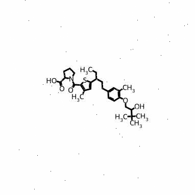 CCC(CCc1ccc(OCC(O)C(C)(C)C)c(C)c1)c1cc(C)c(C(=O)N2CCCC2C(=O)O)s1